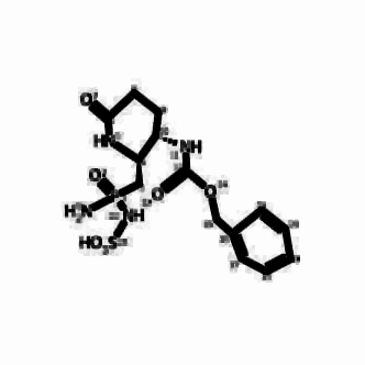 NP(=O)(C[C@H]1NC(=O)CC[C@@H]1NC(=O)OCc1ccccc1)NS(=O)(=O)O